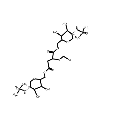 CC(=O)CSC(CC(=O)OCC1OC[C@@H](N[SH](C)(C)=O)C(O)C1O)C(=O)OCC1OC[C@@H](N[SH](C)(C)=O)C(O)C1O